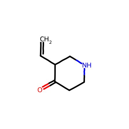 C=CC1CNCCC1=O